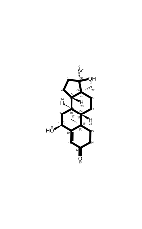 CC(=O)[C@@]1(O)CC[C@H]2[C@@H]3C[C@H](O)C4=CC(=O)CC[C@]4(C)[C@H]3CC[C@@]21C